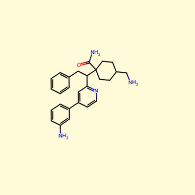 NCC1CCC(C(N)=O)(C(Cc2ccccc2)c2cc(-c3cccc(N)c3)ccn2)CC1